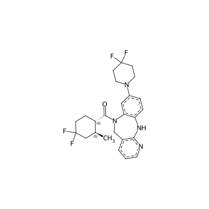 C[C@H]1CC(F)(F)CC[C@@H]1C(=O)N1Cc2cccnc2Nc2ccc(N3CCC(F)(F)CC3)cc21